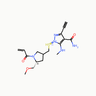 C#CC1=N/[N+](=[SH]/CC2C[C@H](COC)N(C(=O)C=C)C2)C(NC)=C1C(N)=O